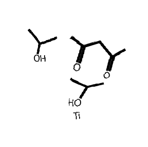 CC(=O)CC(C)=O.CC(C)O.CC(C)O.[Ti]